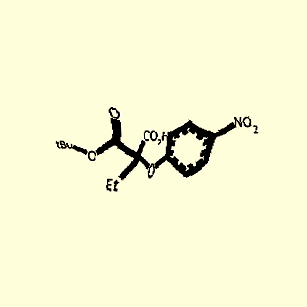 CCC(Oc1ccc([N+](=O)[O-])cc1)(C(=O)O)C(=O)OC(C)(C)C